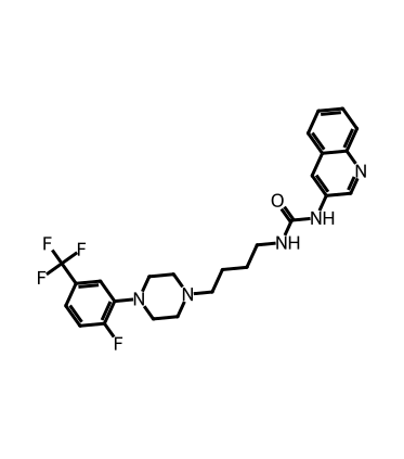 O=C(NCCCCN1CCN(c2cc(C(F)(F)F)ccc2F)CC1)Nc1cnc2ccccc2c1